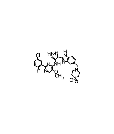 COc1cnc(-c2cc(Cl)ccc2F)nc1Nc1c[nH]nc1-c1nc2cc(CN3CCS(=O)(=O)CC3)ccc2[nH]1